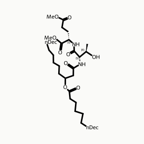 CCCCCCCCCCCCCCCC(=O)OC(CCCCCCCCCCCCCCC)CC(=O)N[C@H](C(=O)N[C@@H](CCC(=O)OC)C(=O)OC)[C@@H](C)O